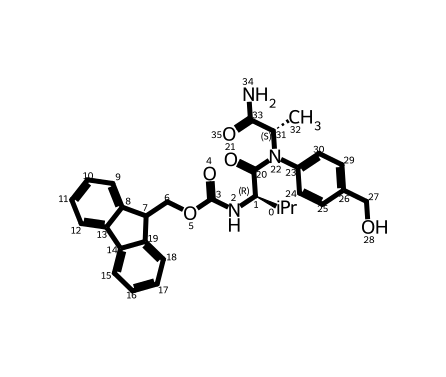 CC(C)[C@@H](NC(=O)OCC1c2ccccc2-c2ccccc21)C(=O)N(c1ccc(CO)cc1)[C@@H](C)C(N)=O